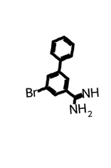 N=C(N)c1cc(Br)cc(-c2ccccc2)c1